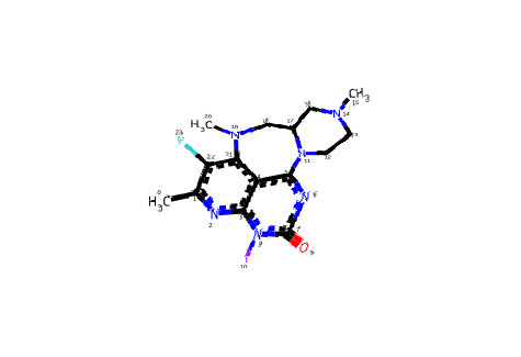 Cc1nc2c3c(nc(=O)n2I)N2CCN(C)CC2CN(C)c3c1F